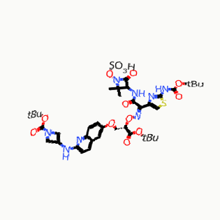 CC(C)(C)OC(=O)Nc1nc(/C(=N/O[C@@H](COc2ccc3nc(NC4CN(C(=O)OC(C)(C)C)C4)ccc3c2)C(=O)OC(C)(C)C)C(=O)NC2C(=O)N(OS(=O)(=O)O)C2(C)C)cs1